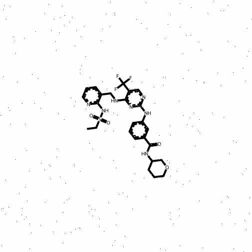 CCS(=O)(=O)Nc1ncccc1CNc1nc(Nc2cccc(C(=O)NC3CCCOC3)c2)ncc1C(F)(F)F